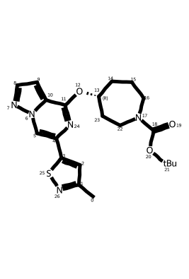 Cc1cc(-c2cn3nccc3c(O[C@@H]3CCCN(C(=O)OC(C)(C)C)CC3)n2)sn1